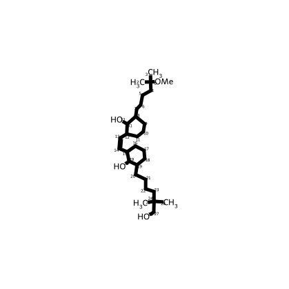 COC(C)(C)CCCCC1CCCC(/C=C\C2CCCC(CCCCC(C)(C)CO)C2O)C1O